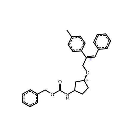 Cc1ccc(/C(=C\c2ccccc2)CO[C@H]2CCC(NC(=O)OCc3ccccc3)C2)cc1